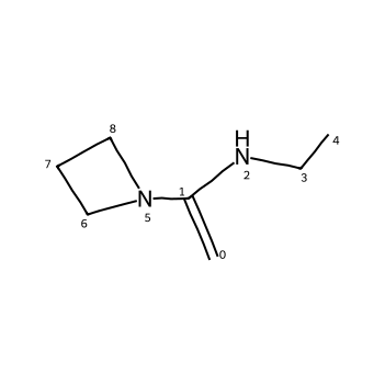 C=C(NCC)N1CCC1